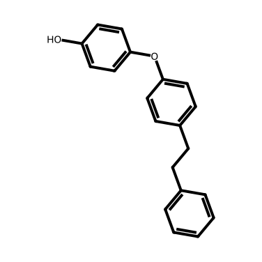 Oc1ccc(Oc2ccc(CCc3ccccc3)cc2)cc1